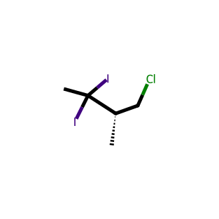 C[C@@H](CCl)C(C)(I)I